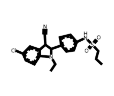 CCCS(=O)(=O)Nc1ccc(C2C(C#N)c3cc(Cl)ccc3N2CC)cc1